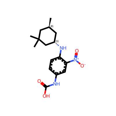 C[C@H]1C[C@H](Nc2ccc(NC(=O)O)cc2[N+](=O)[O-])CC(C)(C)C1